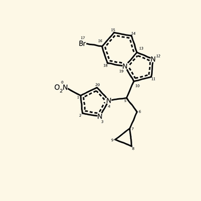 O=[N+]([O-])c1cnn(C(CC2CC2)c2cnc3ccc(Br)cn23)c1